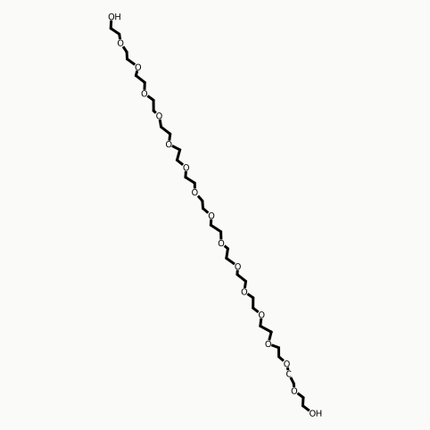 OCCOCCOCCOCCOCCOCCOCCOCCOCCOCCOCCOCCOCCOCCOCCOCCO